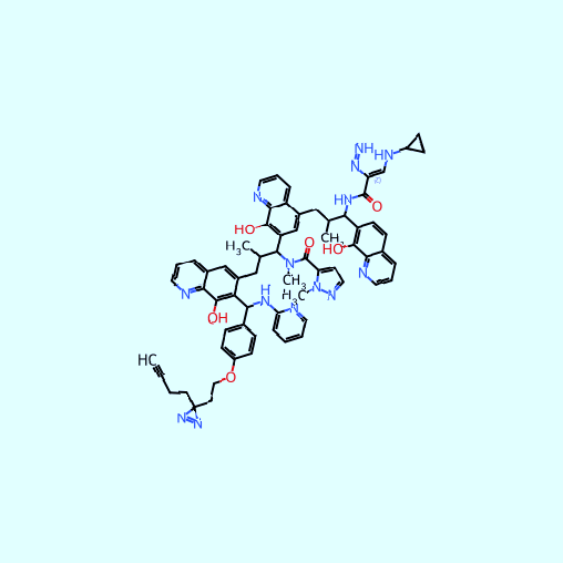 C#CCCC1(CCOc2ccc(C(Nc3ccccn3)c3c(CC(C)C(c4cc(CC(C)C(NC(=O)/C(=C/NC5CC5)N=N)c5ccc6cccnc6c5O)c5cccnc5c4O)N(C)C(=O)c4ccnn4C)cc4cccnc4c3O)cc2)N=N1